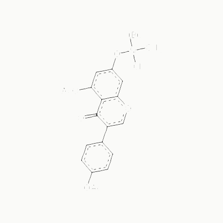 CC(=O)Oc1ccc(-c2coc3cc(O[Si](C)(C)C(C)(C)C)cc(OC(C)=O)c3c2=O)cc1